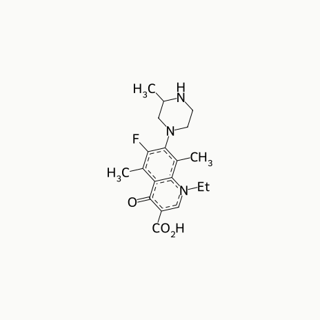 CCn1cc(C(=O)O)c(=O)c2c(C)c(F)c(N3CCNC(C)C3)c(C)c21